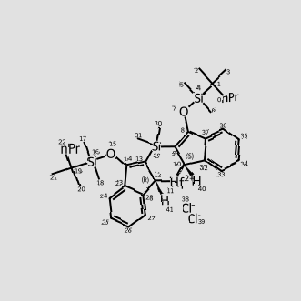 CCCC(C)(C)[Si](C)(C)OC1=C2[C@@H]([Hf+2][C@H]3C(=C(O[Si](C)(C)C(C)(C)CCC)c4ccccc43)[Si]2(C)C)c2ccccc21.[Cl-].[Cl-]